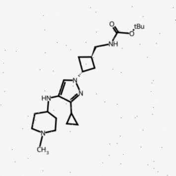 CN1CCC(Nc2cn([C@H]3C[C@H](CNC(=O)OC(C)(C)C)C3)nc2C2CC2)CC1